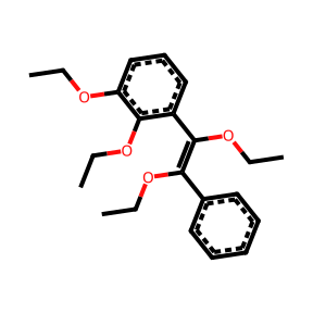 CCOC(=C(OCC)c1cccc(OCC)c1OCC)c1ccccc1